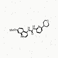 COc1ccc2c(NC(=O)Nc3cccc(C4CCOCC4)n3)ccnc2c1